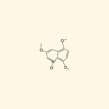 COc1cc2c(OC)ccc(OC)c2[n+]([O-])c1